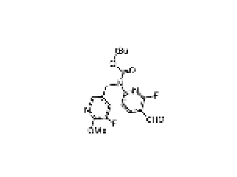 COc1ncc(CN(C(=O)OC(C)(C)C)c2ccc(C=O)c(F)n2)cc1F